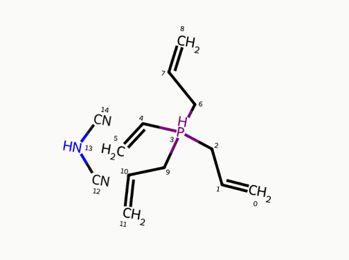 C=CC[PH](C=C)(CC=C)CC=C.N#CNC#N